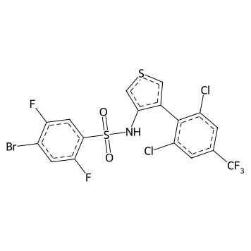 O=S(=O)(Nc1cscc1-c1c(Cl)cc(C(F)(F)F)cc1Cl)c1cc(F)c(Br)cc1F